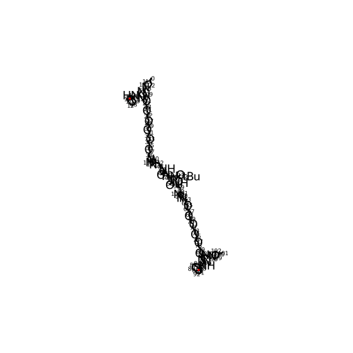 CC1CCN(c2nc(NC34CC5CC(CC(C5)C3)C4)nc(OCCOCCOCCOCCOCCOCCn3cc(CCNC(=O)CC[C@H](NC(=O)OC(C)(C)C)C(=O)NCCc4cn(CCOCCOCCOCCOCCOCCOc5nc(NC67CC8CC(CC(C8)C6)C7)nc(N6CCC(C)CC6)n5)nn4)nn3)n2)CC1